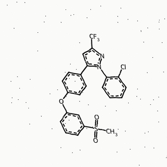 CS(=O)(=O)c1cccc(Oc2ccc(-c3cc(C(F)(F)F)nn3-c3ccccc3Cl)cc2)c1